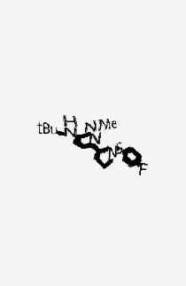 CNc1nc(C2CCCN(Sc3ccc(F)cc3)C2)ccc1NCC(C)(C)C